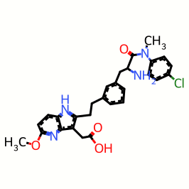 COc1ccc2[nH]c(CCc3cccc(CC(N)C(=O)N(C)c4ccc(Cl)cc4)c3)c(CC(=O)O)c2n1